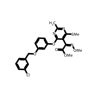 CON=C(C(=O)OC)c1c(Oc2cccc(OCc3cccc(Cl)c3)c2)nc(C)nc1SC